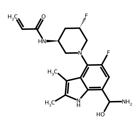 C=CC(=O)N[C@H]1C[C@H](F)CN(c2c(F)cc(C(N)O)c3[nH]c(C)c(C)c23)C1